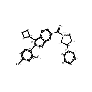 O=C(c1ccc2c(c1)nc(-c1ccc(Cl)cc1Cl)n2C1CCC1)N1CCC(c2cccnc2)C1